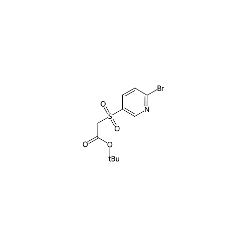 CC(C)(C)OC(=O)CS(=O)(=O)c1ccc(Br)nc1